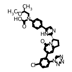 CO[C@@H](C)CN(C(=O)O)c1ccc(-c2cnc([C@@H]3CCc4cc(-c5cc(Cl)ccc5-n5cnnn5)cc(=O)n43)[nH]2)cc1